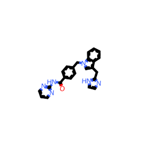 O=C(Nc1ncccn1)c1ccc(Cn2cc(Cc3ncc[nH]3)c3ccccc32)cc1